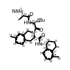 CN[C@@H](C)C(=O)N[C@H](C(=O)N1Cc2cc(C)ccc2C[C@H]1C(=O)N[C@@H]1CCCc2c(C)cccc21)C(C)(C)C